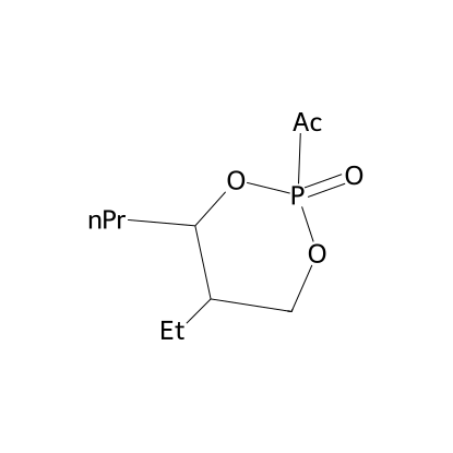 CCCC1OP(=O)(C(C)=O)OCC1CC